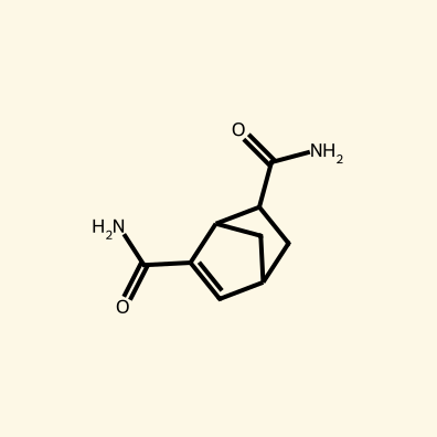 NC(=O)C1=CC2CC(C(N)=O)C1C2